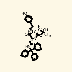 CC(C)(C)OC(=O)N[C@H](CC(=O)NC(c1ccccc1)(c1ccccc1)c1ccccc1)C(=O)NCCc1ccc(O)cc1